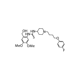 COc1cc(CO)c(NC(=S)NC2CCN(CCCCOc3ccc(F)cc3)CC2)cc1OC